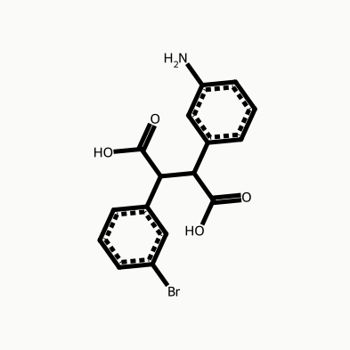 Nc1cccc(C(C(=O)O)C(C(=O)O)c2cccc(Br)c2)c1